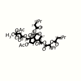 CC(=O)O[C@H]1C[C@]2(O)C(COC(=O)C(OC(=O)CC(C)C)C(C)C)=CO[C@@H](OC(=O)CC(C)C)[C@@H]2[C@@]1(O)COC(=O)CC(C)(C)OC(C)=O